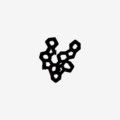 C1=CC2(C3=Cc4ccccc4C3=C1)C1=Cc3ccccc3C1=CC=C2c1cccc2c1-c1c3c(ccc1=N2)=c1ccccc1=N3